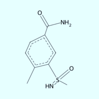 Cc1ccc(C(N)=O)cc1S(C)(=N)=O